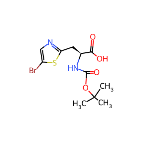 CC(C)(C)OC(=O)N[C@@H](Cc1ncc(Br)s1)C(=O)O